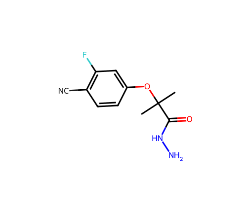 CC(C)(Oc1ccc(C#N)c(F)c1)C(=O)NN